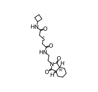 O=C(CSCC(=O)NC1CCC1)NCCN1C(=O)[C@H]2CCCC[C@H]2C1=O